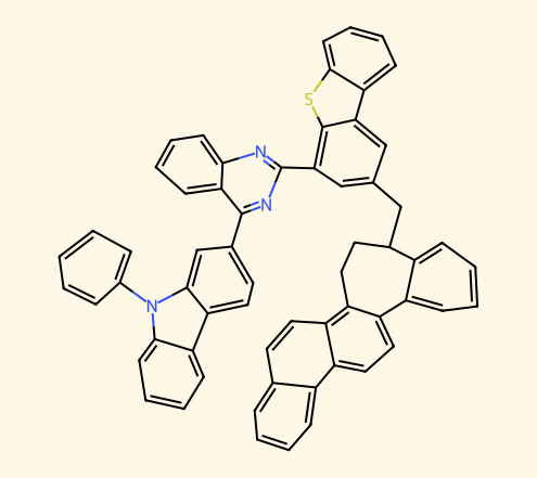 c1ccc(-n2c3ccccc3c3ccc(-c4nc(-c5cc(CC6CCc7c(ccc8c7ccc7ccccc78)-c7ccccc76)cc6c5sc5ccccc56)nc5ccccc45)cc32)cc1